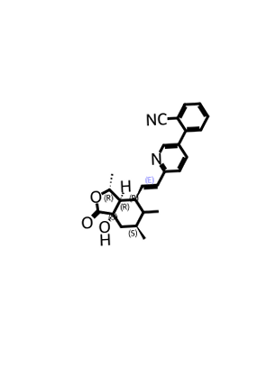 CC1[C@@H](C)C[C@@]2(O)C(=O)O[C@H](C)[C@H]2[C@H]1/C=C/c1ccc(-c2ccccc2C#N)cn1